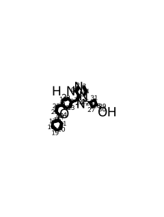 Nc1nccn2c1c(-c1ccc3c(c1)O[C@@H](c1ccccc1)C=C3)nc2[C@H]1C[C@@H](CO)C1